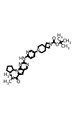 CN(C)C(=O)c1cc2cnc(Nc3ccc(N4CCC5(CC4)CN(C(=O)OC(C)(C)C)C5)cn3)nc2n1C1CCCC1